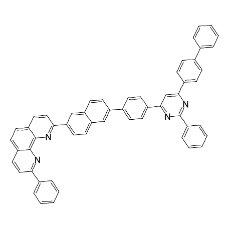 c1ccc(-c2ccc(-c3cc(-c4ccc(-c5ccc6cc(-c7ccc8ccc9ccc(-c%10ccccc%10)nc9c8n7)ccc6c5)cc4)nc(-c4ccccc4)n3)cc2)cc1